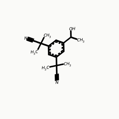 CC(O)c1cc(C(C)(C)C#N)cc(C(C)(C)C#N)c1